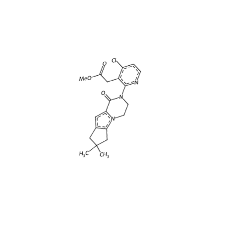 COC(=O)Cc1c(Cl)ccnc1N1CCn2c(cc3c2CC(C)(C)C3)C1=O